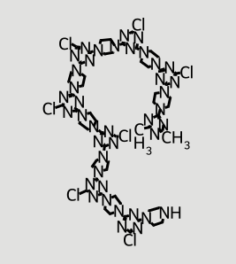 Cc1nc(C)nc(N2CCN(c3nc(Cl)nc(N4CCN(c5nc(Cl)nc(N6CCN(c7nc(Cl)nc(N8CCN(c9nc(Cl)nc(N%10CCN(c%11nc(Cl)nc(N%12CCN(c%13nc(Cl)nc(N%14CCN(c%15nc(Cl)nc(N%16CCNCC%16)n%15)CC%14)n%13)CC%12)n%11)CC%10)n9)CC8)n7)CC6)n5)CC4)n3)CC2)n1